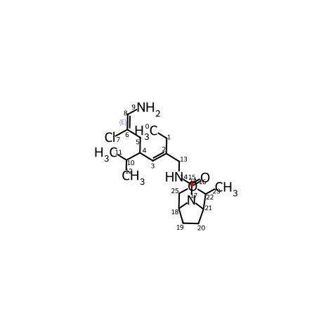 CCC(=CC(C/C(Cl)=C\N)C(C)C)CNC(=O)N1C2CCC1C(C)OC2